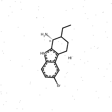 CCC1CCc2c([nH]c3ccc(Br)cc23)[C@@H]1N.I